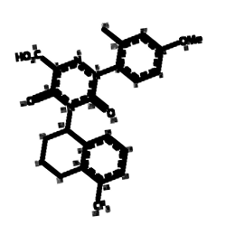 COc1ccc(-n2nc(C(=O)O)c(=O)n(C3CCCc4c3cccc4C(F)(F)F)c2=O)c(C)c1